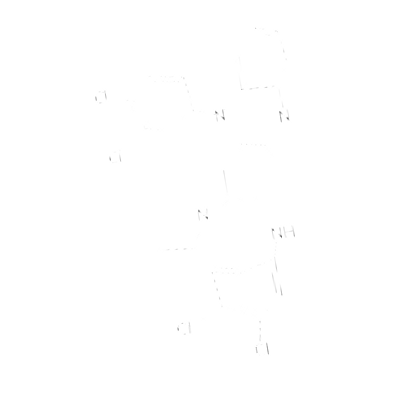 CC1N=c2cc3c(cc2Nc2cc(Cl)c(Cl)c1c2)=Nc1ccccc1N3c1ccc(Cl)c(Cl)c1